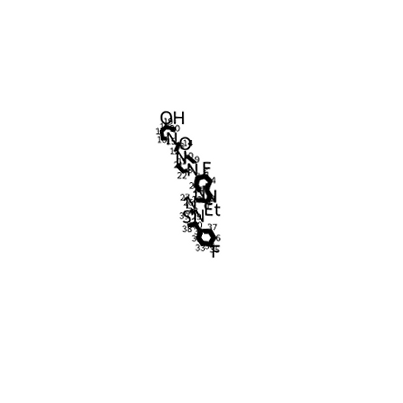 CCc1nc2cc(F)c(N3CCN(CC(=O)N4CC[C@H](O)C4)CC3)cn2c1N(C)c1nc(-c2ccc(F)cc2)cs1